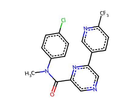 CN(C(=O)c1cncc(-c2ccc(C(F)(F)F)nc2)n1)c1ccc(Cl)cc1